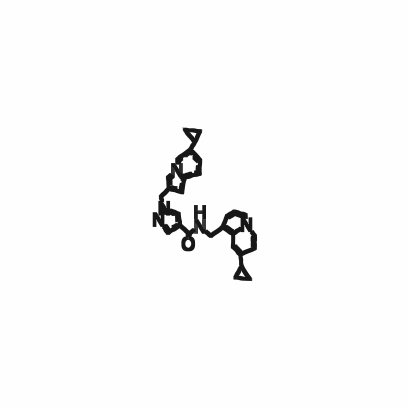 O=C(NCC1=C2C=C(C3CC3)C=CN2C=C=C1)c1cnn(Cc2cc3ccc(C4CC4)cn3c2)c1